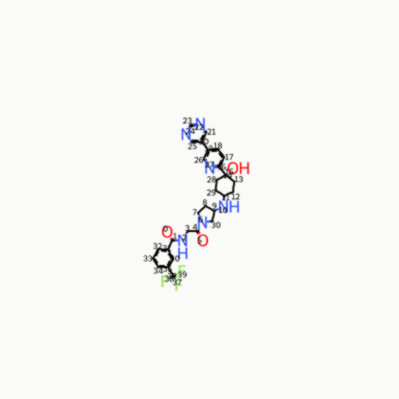 O=C(NCC(=O)N1CCC(NC2CCC(O)(c3ccc(-c4cncnc4)cn3)CC2)C1)c1cccc(C(F)(F)F)c1